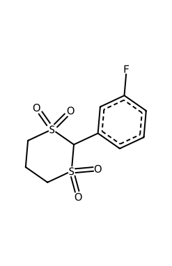 O=S1(=O)CCCS(=O)(=O)C1c1cccc(F)c1